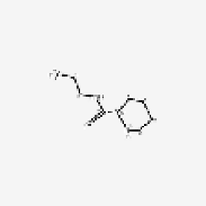 CCCNC(=O)[C@@H]1CCCCN1